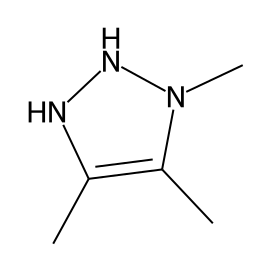 CC1=C(C)N(C)NN1